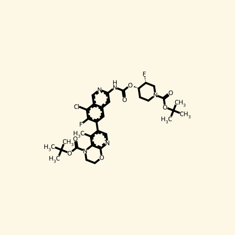 Cc1c(-c2cc3cc(NC(=O)O[C@H]4CCN(C(=O)OC(C)(C)C)C[C@H]4F)ncc3c(Cl)c2F)cnc2c1N(C(=O)OC(C)(C)C)CCO2